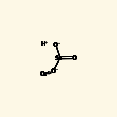 O=[Se]([O-])[O-].[Ge+4].[H+]